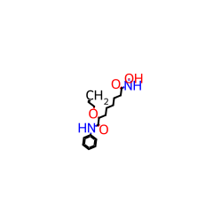 C=CCOC(CCCCCC(=O)NO)C(=O)Nc1ccccc1